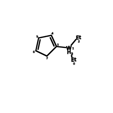 C[CH2][WH2]([CH2]C)[C]1=CC=CC1